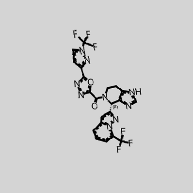 O=C(c1nnc(-c2ccn(C(F)(F)F)n2)o1)N1CCc2[nH]cnc2[C@@H]1c1cc2cccc(C(F)(F)F)n2n1